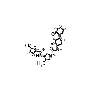 C=C1CN(CC(=O)Nc2ccc(-n3ccccc3=O)cc2F)C[C@@H]1NC(=O)c1ccc(Cl)s1